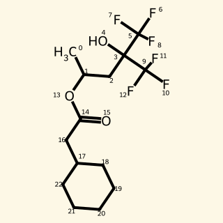 CC(CC(O)(C(F)(F)F)C(F)(F)F)OC(=O)CC1CCCCC1